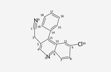 N#CCc1cnc2ccc(Cl)cc2c1-c1ccccc1